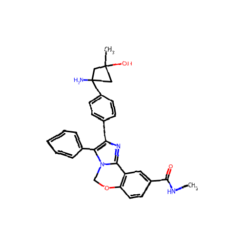 CNC(=O)c1ccc2c(c1)-c1nc(-c3ccc(C4(N)CC(C)(O)C4)cc3)c(-c3ccccc3)n1CO2